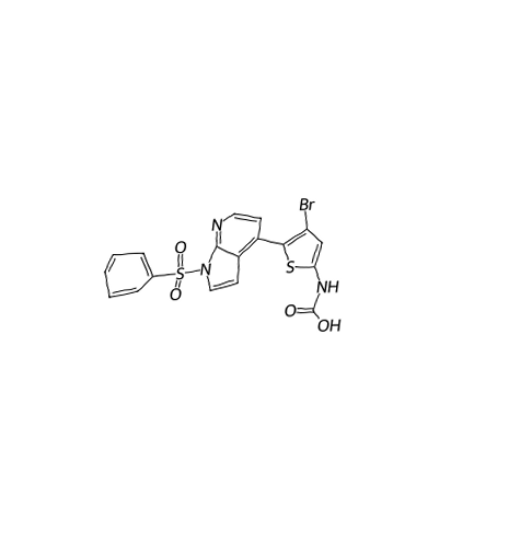 O=C(O)Nc1cc(Br)c(-c2ccnc3c2ccn3S(=O)(=O)c2ccccc2)s1